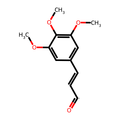 COc1cc(C=C[C]=O)cc(OC)c1OC